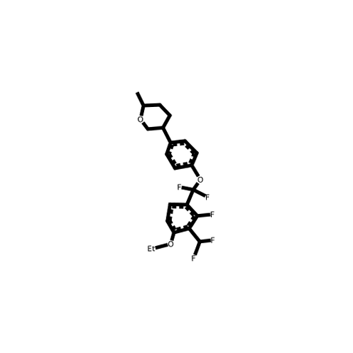 CCOc1ccc(C(F)(F)Oc2ccc(C3CCC(C)OC3)cc2)c(F)c1C(F)F